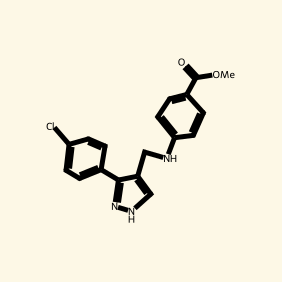 COC(=O)c1ccc(NCc2c[nH]nc2-c2ccc(Cl)cc2)cc1